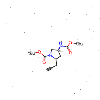 C#CCC1C[C@H](NC(=O)OC(C)(C)C)CN1C(=O)OC(C)(C)C